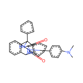 CN(C)c1ccc(N2C(=O)NC3c4ccccc4C(c4ccccc4)(NC2=O)c2ccccc23)cc1